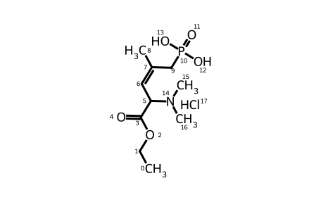 CCOC(=O)C(C=C(C)CP(=O)(O)O)N(C)C.Cl